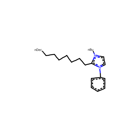 CCCCCCCCCCCCCCCCCc1n(-c2ccccc2)cc[n+]1CCCC